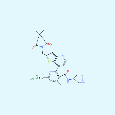 Cc1cc(C(F)(F)F)nc(-c2ccnc3cc(CN4C(=O)C5C(C4=O)C5(C)C)sc23)c1C(=O)N[C@H]1CCNC1.Cl.Cl